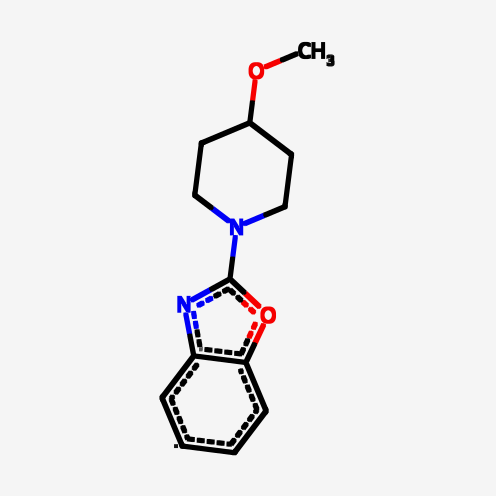 COC1CCN(c2nc3c[c]ccc3o2)CC1